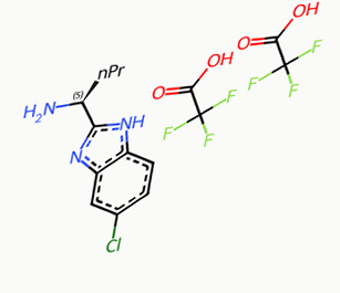 CCC[C@H](N)c1nc2cc(Cl)ccc2[nH]1.O=C(O)C(F)(F)F.O=C(O)C(F)(F)F